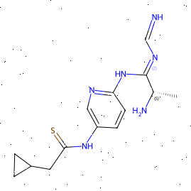 C[C@H](N)/C(=N/C=N)Nc1ccc(NC(=S)CC2CC2)cn1